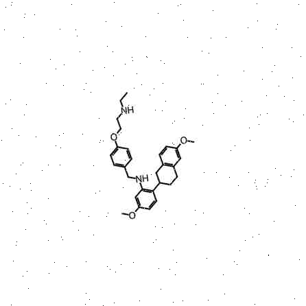 CCNCCOc1ccc(CNc2cc(OC)ccc2C2CCc3cc(OC)ccc3C2)cc1